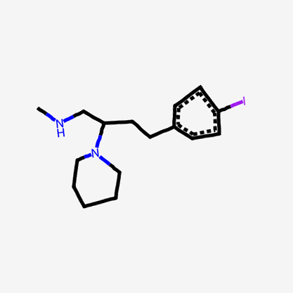 CNCC(CCc1ccc(I)cc1)N1CCCCC1